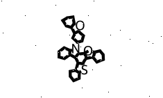 c1ccc2c(c1)oc1ccc(-n3c4ccccc4c4c5c6ccccc6sc5c5c6ccccc6oc5c43)cc12